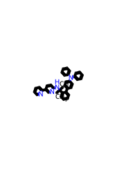 CCC(CC)(Nc1ccc(-c2ccccn2)cn1)c1ccccc1-c1ccc(N(c2ccccc2)c2ccccc2)cc1